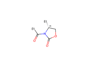 CCC(=O)N1C(=O)OC[C@H]1CC